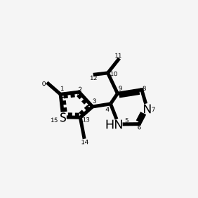 Cc1cc(C2NC=NC=C2C(C)C)c(C)s1